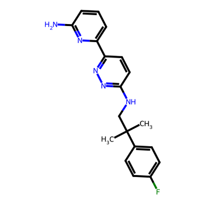 CC(C)(CNc1ccc(-c2cccc(N)n2)nn1)c1ccc(F)cc1